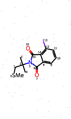 CSCC(C)(C)N1C(=O)c2cccc(I)c2C1=O